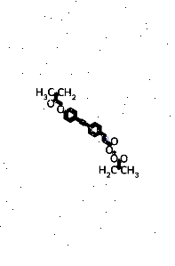 C=C(C)C(=O)COc1ccc(C#Cc2ccc(/C=C/C(=O)OCOC(=O)C(=C)C)cc2)cc1